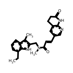 CCc1cccc2c(C)c(CN(C)C(=O)C=Cc3cnc4c(c3)CCC(=O)N4)[nH]c12